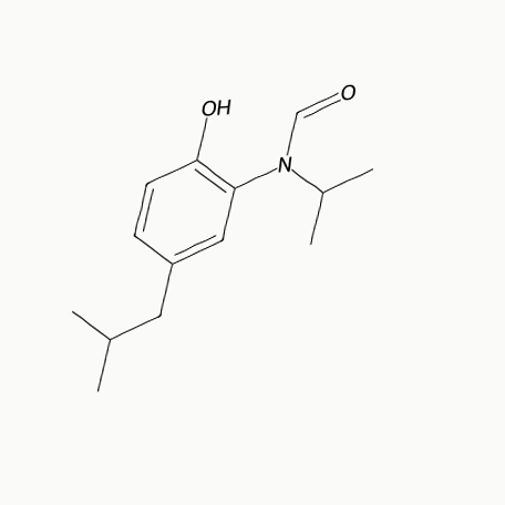 CC(C)Cc1ccc(O)c(N(C=O)C(C)C)c1